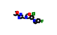 C/C=C(\OC)c1ncc(CN2CCOc3c(Cl)cc(-n4ccc5cc(F)ccc54)cc3C2)cn1